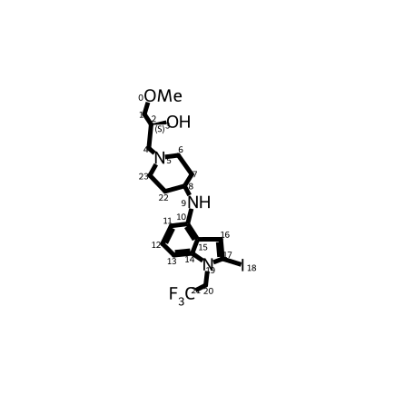 COC[C@@H](O)CN1CCC(Nc2cccc3c2cc(I)n3CC(F)(F)F)CC1